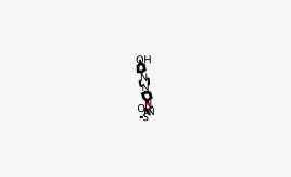 CSn1ncn(-c2ccc(N3CCN(c4ccc(O)cc4)CC3)cc2)c1=O